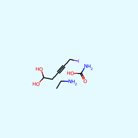 CCN.NC(=O)O.OC(O)CC#CCI